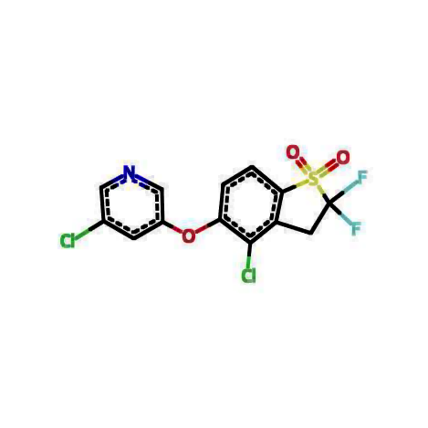 O=S1(=O)c2ccc(Oc3cncc(Cl)c3)c(Cl)c2CC1(F)F